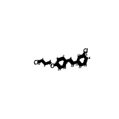 ClCCCOc1ccc(/C=C/c2cccc(Cl)c2)cc1